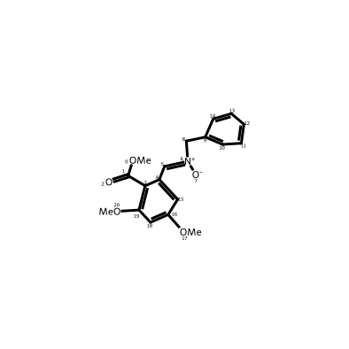 COC(=O)c1c(/C=[N+](\[O-])Cc2ccccc2)cc(OC)cc1OC